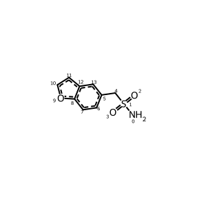 NS(=O)(=O)Cc1ccc2occc2c1